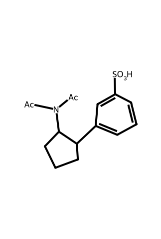 CC(=O)N(C(C)=O)C1CCCC1c1cccc(S(=O)(=O)O)c1